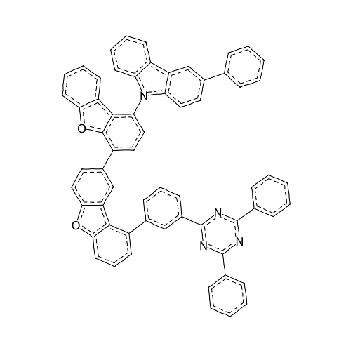 c1ccc(-c2ccc3c(c2)c2ccccc2n3-c2ccc(-c3ccc4oc5cccc(-c6cccc(-c7nc(-c8ccccc8)nc(-c8ccccc8)n7)c6)c5c4c3)c3oc4ccccc4c23)cc1